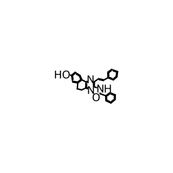 O=C(Nc1nc2c(nc1/C=C/c1ccccc1)-c1ccc(O)cc1CC2)c1ccccc1